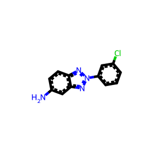 Nc1ccc2nn(-c3cccc(Cl)c3)nc2c1